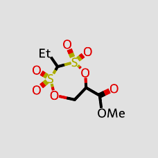 CCC1S(=O)(=O)OCC(C(=O)OC)OS1(=O)=O